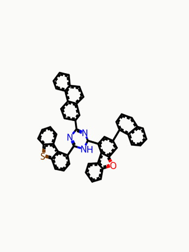 c1ccc2c(-c3cc(C4N=C(c5ccc6c(ccc7ccccc76)c5)N=C(c5cccc6sc7ccccc7c56)N4)c4c(c3)oc3ccccc34)cccc2c1